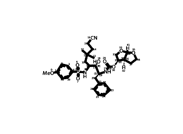 COc1ccc(S(=O)(=O)NC(CC(C)(C)CCC#N)[C@H](O)[C@H](Cc2ccccc2)NC(=O)O[C@H]2CO[C@H]3OCC[C@H]32)cc1